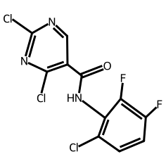 O=C(Nc1c(Cl)ccc(F)c1F)c1cnc(Cl)nc1Cl